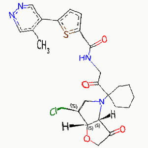 Cc1cnncc1-c1ccc(C(=O)NCC(=O)C2(N3C[C@H](Cl)[C@H]4OCC(=O)[C@H]43)CCCCC2)s1